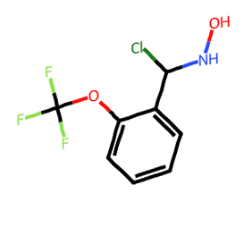 ONC(Cl)c1ccccc1OC(F)(F)F